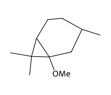 [CH2]OC12CC(C)CCC1C2(C)C